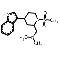 CN(C)CC1CC(c2c[nH]c3ccccc23)CCN1S(C)(=O)=O